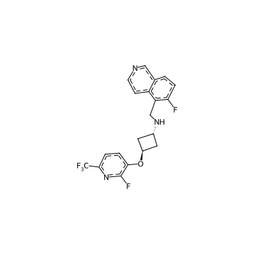 Fc1ccc2cnccc2c1CN[C@H]1C[C@H](Oc2ccc(C(F)(F)F)nc2F)C1